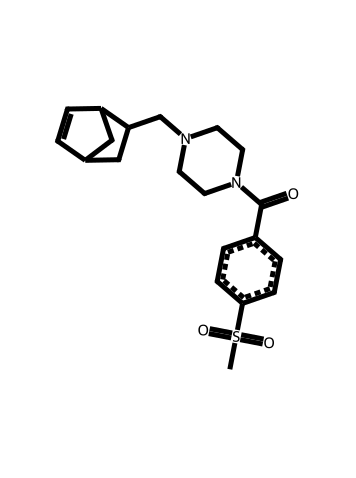 CS(=O)(=O)c1ccc(C(=O)N2CCN(CC3CC4C=CC3C4)CC2)cc1